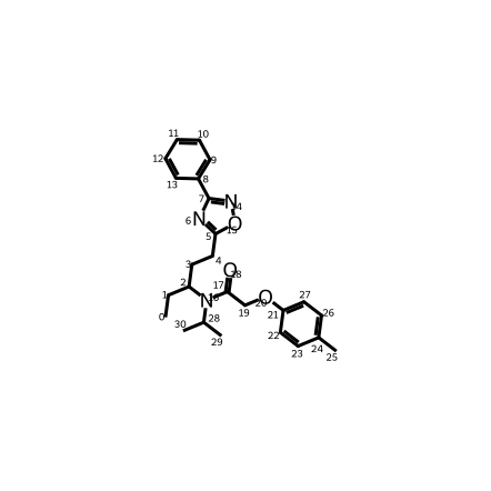 CCC(CCc1nc(-c2ccccc2)no1)N(C(=O)COc1ccc(C)cc1)C(C)C